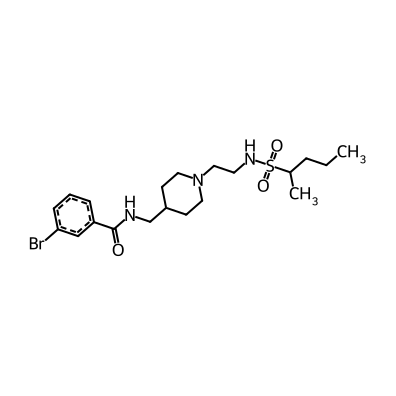 CCCC(C)S(=O)(=O)NCCN1CCC(CNC(=O)c2cccc(Br)c2)CC1